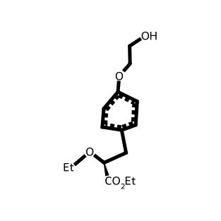 CCOC(=O)[C@H](Cc1ccc(OCCO)cc1)OCC